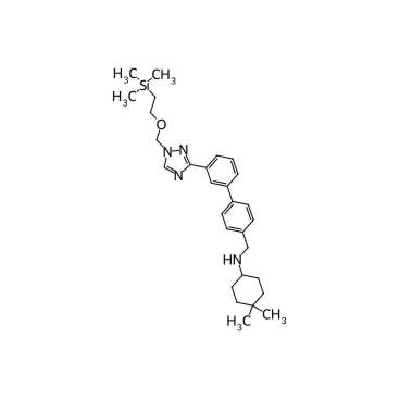 CC1(C)CCC(NCc2ccc(-c3cccc(-c4ncn(COCC[Si](C)(C)C)n4)c3)cc2)CC1